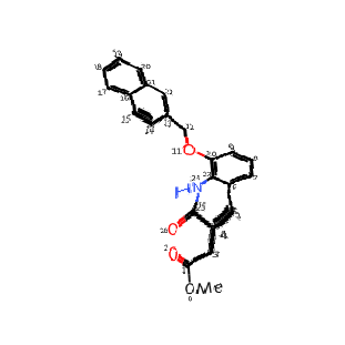 COC(=O)Cc1cc2cccc(OCc3ccc4ccccc4c3)c2[nH]c1=O